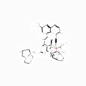 COc1c(F)c(-c2cc(O)cc3ccc(F)c(C#C[Si](C(C)C)(C(C)C)C(C)C)c23)c(F)c2nc(OC[C@@]34CCCN3C[C@H](F)C4)nc(N3CC4CCC(C3)N4)c12